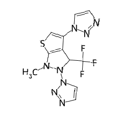 CN1c2scc(-n3ccnn3)c2C(C(F)(F)F)N1n1ccnn1